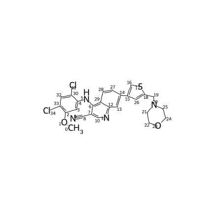 COc1cc(Nc2c(C#N)cnc3cc(-c4csc(CN5CCOCC5)c4)ccc23)c(Cl)cc1Cl